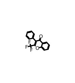 O=c1c(-c2ccccc2)c(C(F)(F)F)oc2ccccc12